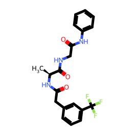 C[C@H](NC(=O)Cc1cccc(C(F)(F)F)c1)C(=O)NCC(=O)Nc1ccccc1